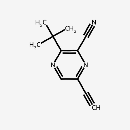 C#Cc1cnc(C(C)(C)C)c(C#N)n1